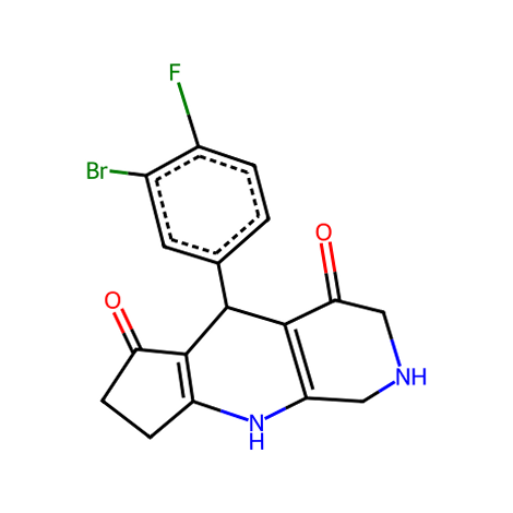 O=C1CCC2=C1C(c1ccc(F)c(Br)c1)C1=C(CNCC1=O)N2